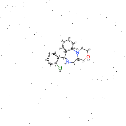 Clc1ccccc1C1=NCC2COCCN2c2ccccc21